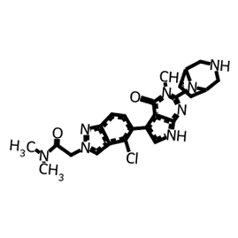 CN(C)C(=O)Cn1cc2c(Cl)c(-c3c[nH]c4nc(N5C6CCC5CNC6)n(C)c(=O)c34)ccc2n1